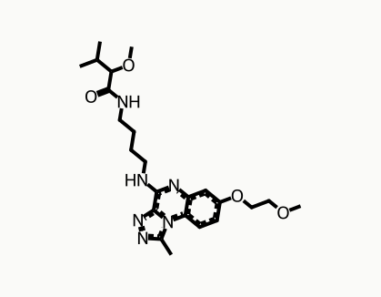 COCCOc1ccc2c(c1)nc(NCCCCNC(=O)C(OC)C(C)C)c1nnc(C)n12